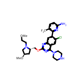 COCCN1C[C@H](OC)C[C@H]1COc1nc(N2CCNCC2)c2cc(Cl)c(-c3nc(N)ccc3C(F)(F)F)cc2n1